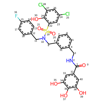 O=C(NCc1cccc(CN(Cc2ccc(F)cc2)S(=O)(=O)c2cc(Cl)cc(Cl)c2O)c1)c1cc(O)c(O)c(O)c1